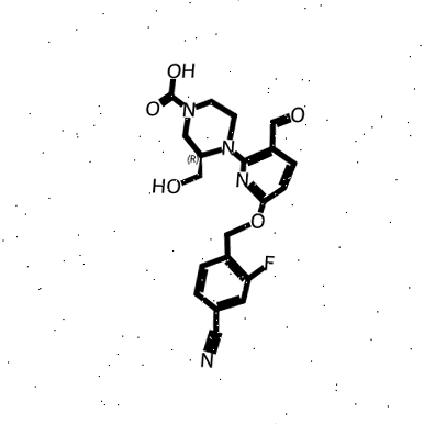 N#Cc1ccc(COc2ccc(C=O)c(N3CCN(C(=O)O)C[C@@H]3CO)n2)c(F)c1